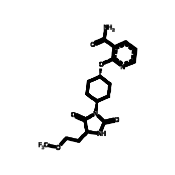 NC(=O)c1cccnc1O[C@H]1CC[C@H](N2C(=O)NC(CCOC(F)(F)F)C2=O)CC1